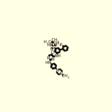 Cc1cnc(Nc2ccc(N3CCN(C)CC3)cc2)nc1Nc1cc(-c2ccccc2F)cc(S(=O)(=O)NC(C)(C)C)c1